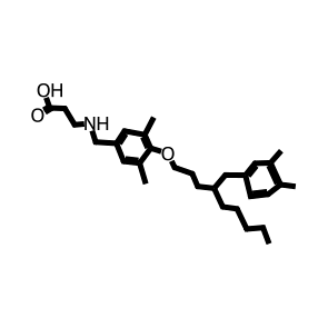 CCCCCC(CCCOc1c(C)cc(CNCCC(=O)O)cc1C)Cc1ccc(C)c(C)c1